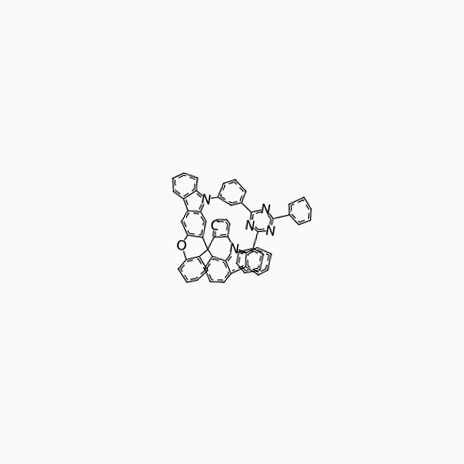 c1ccc(-c2nc(-c3ccccc3)nc(-c3cccc(-n4c5ccccc5c5cc6c(cc54)C4(c5ccccc5O6)c5ccccc5-n5c6ccccc6c6cccc4c65)c3)n2)cc1